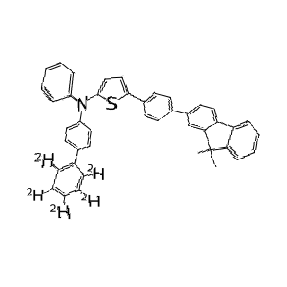 [2H]c1c([2H])c([2H])c(-c2ccc(N(c3ccccc3)c3ccc(-c4ccc(-c5ccc6c(c5)C(C)(C)c5ccccc5-6)cc4)s3)cc2)c([2H])c1[2H]